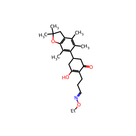 CCON=CCCC1=C(O)CC(c2c(C)c(C)c3c(c2C)OC(C)(C)C3)CC1=O